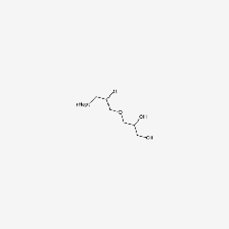 CCCCCCCCC(CC)COCC(O)CO